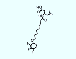 CN(C)CC(CC(=O)O)NC(=O)CCCCCCCCOc1ccc(F)c(F)c1F